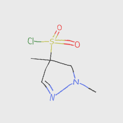 CN1CC(C)(S(=O)(=O)Cl)C=N1